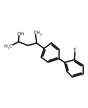 CC(O)CC(C)c1ccc(-c2ccccc2F)cc1